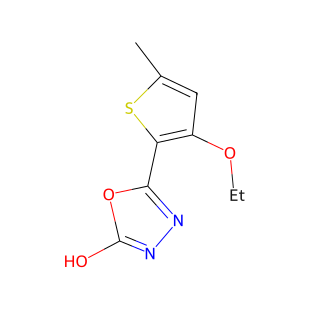 CCOc1cc(C)sc1-c1nnc(O)o1